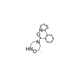 C[C@H]1CN(C(=O)c2ccccc2-c2nccs2)CCNO1